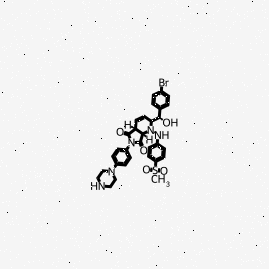 CS(=O)(=O)c1ccc(NN2C([C@H](O)c3ccc(Br)cc3)C=C[C@H]3C(=O)N(c4ccc(N5CCNCC5)cc4)C(=O)[C@H]32)cc1